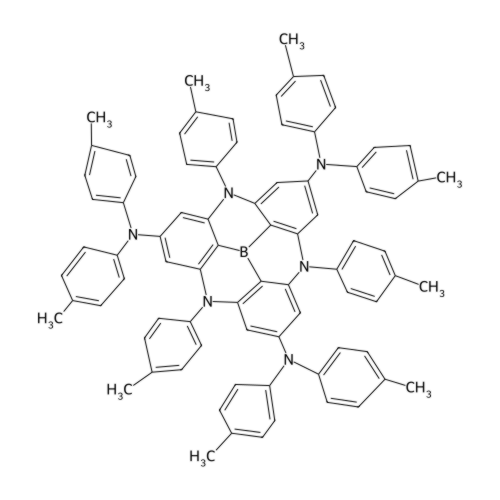 Cc1ccc(N(c2ccc(C)cc2)c2cc3c4c(c2)N(c2ccc(C)cc2)c2cc(N(c5ccc(C)cc5)c5ccc(C)cc5)cc5c2B4c2c(cc(N(c4ccc(C)cc4)c4ccc(C)cc4)cc2N5c2ccc(C)cc2)N3c2ccc(C)cc2)cc1